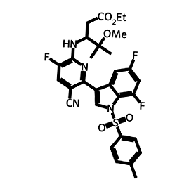 CCOC(=O)CC(Nc1nc(-c2cn(S(=O)(=O)c3ccc(C)cc3)c3c(F)cc(F)cc23)c(C#N)cc1F)C(C)(C)OC